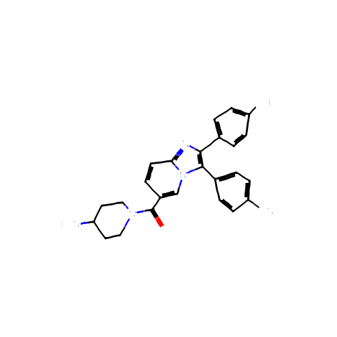 Cc1ccc(-c2nc3ccc(C(=O)N4CCC(N)CC4)cn3c2-c2ccc(C#N)cc2)cc1